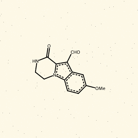 COc1ccc2c(c1)c(C=O)c1n2CCNC1=O